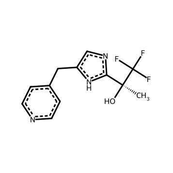 C[C@](O)(c1ncc(Cc2ccncc2)[nH]1)C(F)(F)F